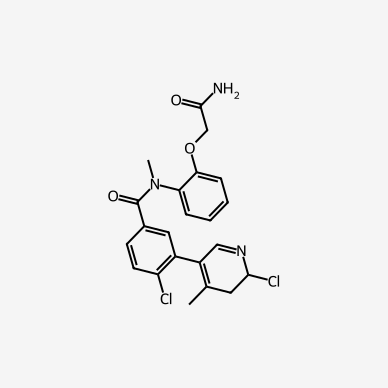 CC1=C(c2cc(C(=O)N(C)c3ccccc3OCC(N)=O)ccc2Cl)C=NC(Cl)C1